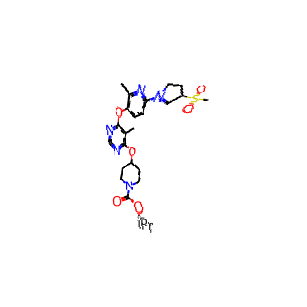 Cc1nc(N2CCC(S(C)(=O)=O)C2)ccc1Oc1ncnc(OC2CCN(C(=O)OC(C)C)CC2)c1C